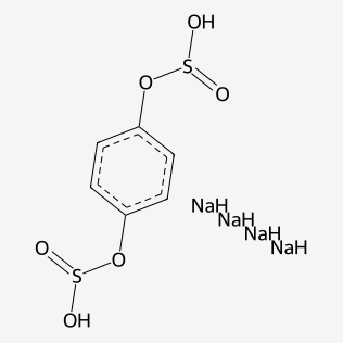 O=S(O)Oc1ccc(OS(=O)O)cc1.[NaH].[NaH].[NaH].[NaH]